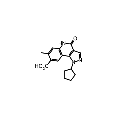 Cc1cc2[nH]c(=O)c3cnn(C4CCCC4)c3c2cc1C(=O)O